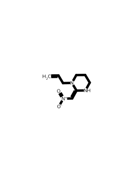 C=CCN1CCCNC1=C[N+](=O)[O-]